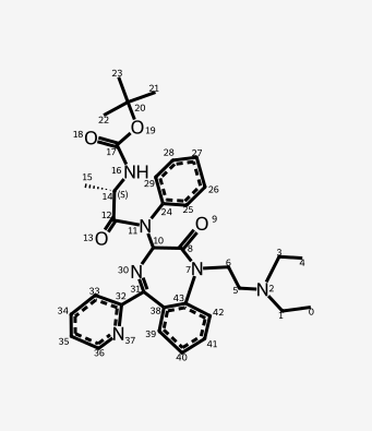 CCN(CC)CCN1C(=O)C(N(C(=O)[C@H](C)NC(=O)OC(C)(C)C)c2ccccc2)N=C(c2ccccn2)c2ccccc21